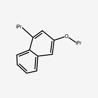 CC(C)Oc1cc(C(C)C)c2ccccc2c1